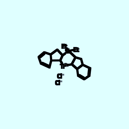 CC[Si]1(CC)C2CC3C=CC=CC3[CH]2[Ti+2][CH]2C3C=CC=CC3CC21.[Cl-].[Cl-]